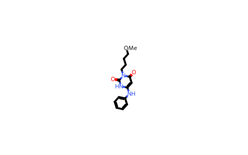 COCCCCn1c(=O)cc(Nc2ccccc2)[nH]c1=O